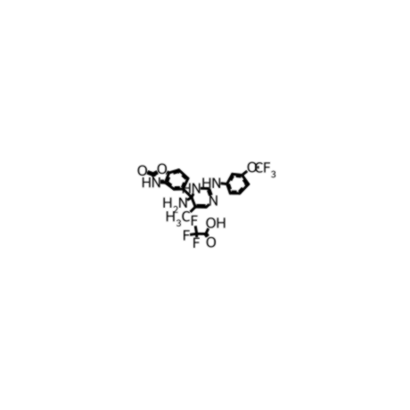 CC1=CN=C(Nc2cccc(OC(F)(F)F)c2)NC1(N)c1ccc2oc(=O)[nH]c2c1.O=C(O)C(F)(F)F